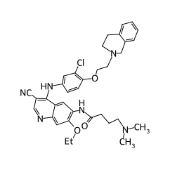 CCOc1cc2ncc(C#N)c(Nc3ccc(OCCN4CCc5ccccc5C4)c(Cl)c3)c2cc1NC(=O)CCCN(C)C